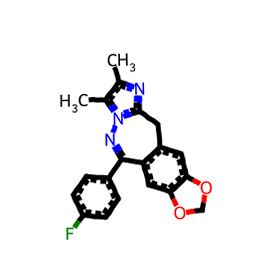 Cc1nc2n(c1C)N=C(c1ccc(F)cc1)c1cc3c(cc1C2)OCO3